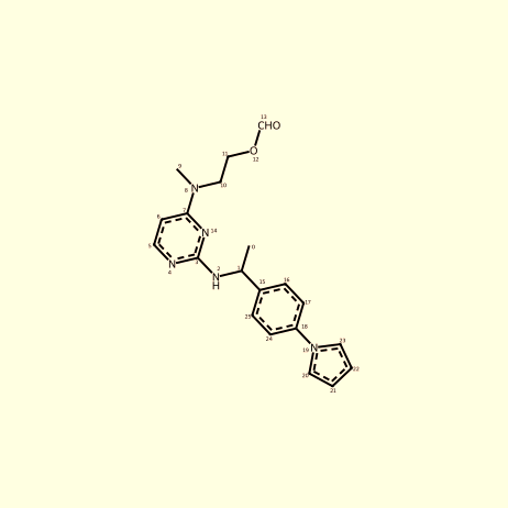 CC(Nc1nccc(N(C)CCOC=O)n1)c1ccc(-n2cccc2)cc1